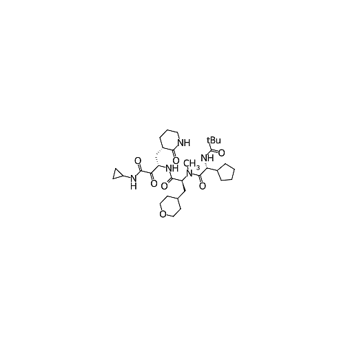 CN(C(=O)[C@H](NC(=O)C(C)(C)C)C1CCCC1)[C@@H](CC1CCOCC1)C(=O)N[C@@H](C[C@@H]1CCCNC1=O)C(=O)C(=O)NC1CC1